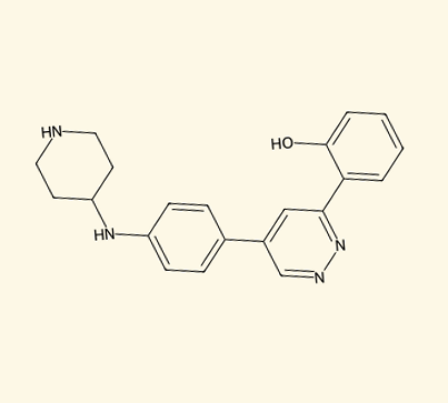 Oc1ccccc1-c1cc(-c2ccc(NC3CCNCC3)cc2)cnn1